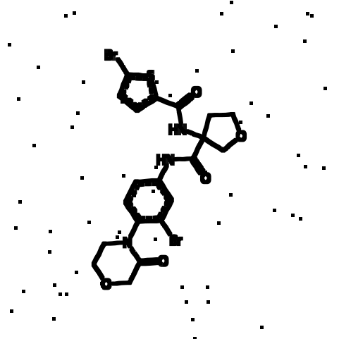 O=C(NC1(C(=O)Nc2ccc(N3CCOCC3=O)c(Br)c2)CCOC1)c1ccc(Br)s1